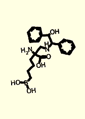 NC(CCCCB(O)O)(CNC(c1ccccc1)C(O)c1ccccc1)C(=O)O